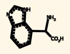 NC(C(=O)O)c1cccc2nc[nH]c12